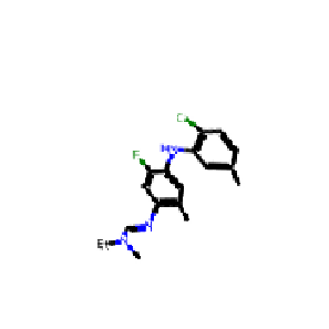 CCN(C)C=Nc1cc(F)c(Nc2cc(C)ccc2Cl)cc1C